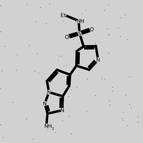 CCNS(=O)(=O)c1cncc(-c2ccn3nc(N)nc3c2)c1